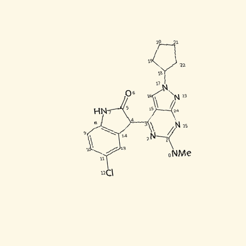 CNc1nc(C2C(=O)Nc3ccc(Cl)cc32)c2cn(C3CCCC3)nc2n1